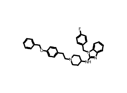 Fc1ccc(Cn2c(NC3CCN(CCc4ccc(OCc5ccccc5)cc4)CC3)nc3ccccc32)cc1